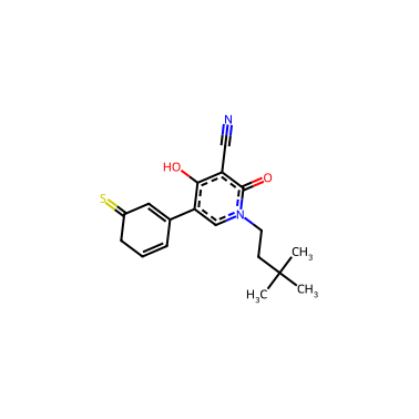 CC(C)(C)CCn1cc(C2=CC(=S)CC=C2)c(O)c(C#N)c1=O